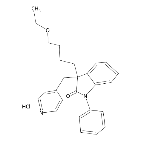 CCOCCCCC1(Cc2ccncc2)C(=O)N(c2ccccc2)c2ccccc21.Cl